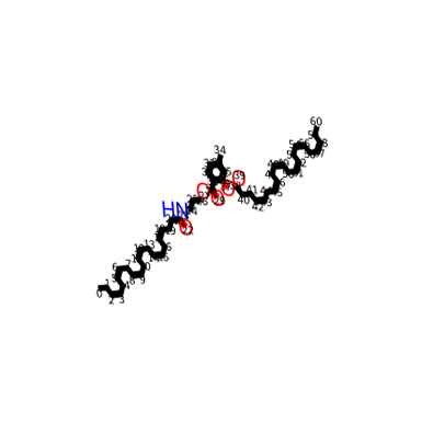 CC/C=C\C/C=C\C/C=C\C/C=C\C/C=C\C/C=C\CCC(=O)NCCCOC(=O)c1ccc(C)cc1OC(=O)CC/C=C\C/C=C\C/C=C\C/C=C\C/C=C\C/C=C\CC